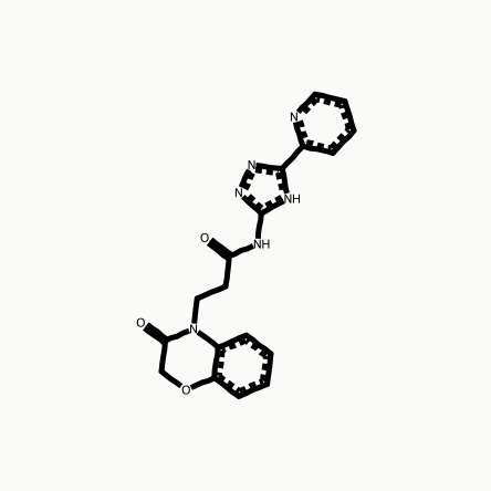 O=C(CCN1C(=O)COc2ccccc21)Nc1nnc(-c2ccccn2)[nH]1